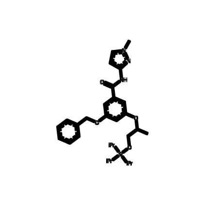 CC(CO[Si](C(C)C)(C(C)C)C(C)C)Oc1cc(OCc2ccccc2)cc(C(=O)Nc2ccn(C)n2)c1